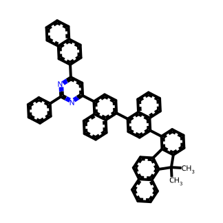 CC1(C)c2cccc(-c3ccc(-c4ccc(-c5cc(-c6ccc7ccccc7c6)nc(-c6ccccc6)n5)c5ccccc45)c4ccccc34)c2-c2ccc3ccccc3c21